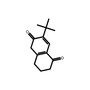 CC(C)(C)C1=CC2=C(CCCC2=O)CC1=O